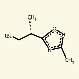 Cc1noc([C@@H](C)CC(C)(C)C)n1